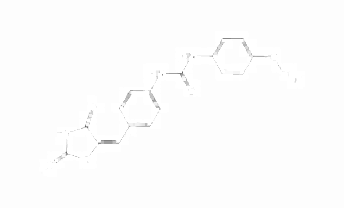 O=C(Nc1ccc(C=C2SC(=O)NC2=O)cc1)Nc1ccc(OC(F)(F)F)cc1